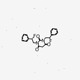 O=C1CC(=O)N(C[C@H](F)c2ccccc2)C(=O)N1CC(F)c1ccccc1